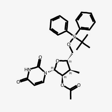 CC(=O)O[C@@H]1[C@H](C)[C@@H](CO[Si](c2ccccc2)(c2ccccc2)C(C)(C)C)O[C@H]1n1ccc(=O)[nH]c1=O